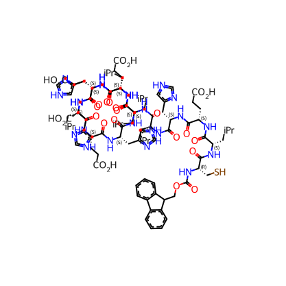 CC(C)C[C@H](NC(=O)[C@H](CS)NC(=O)OCC1c2ccccc2-c2ccccc21)C(=O)N[C@@H](CCC(=O)O)C(=O)N[C@@H](Cc1c[nH]cn1)C(=O)N[C@@H](CC(C)C)C(=O)N[C@@H](CC(C)C)C(=O)N[C@@H](CCC(=O)O)C(=O)N[C@@H](Cc1c[nH]cn1)C(=O)N[C@@H](CC(C)C)C(=O)N[C@@H](CCC(=O)O)C(=O)N[C@@H](Cc1c[nH]cn1)C(=O)N[C@@H](CC(C)C)C(=O)N[C@@H](CC(C)C)C(=O)N[C@@H](CCC(=O)O)C(=O)N[C@@H](Cc1c[nH]cn1)C(=O)O